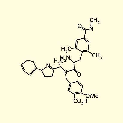 C=NC(=O)c1cc(C)c(CC(N)C(=O)N(Cc2ccc(OC)c(C(=O)O)c2)[C@@H](C)C2=NC(C3=CC=CCC3)CC2)c(C)c1